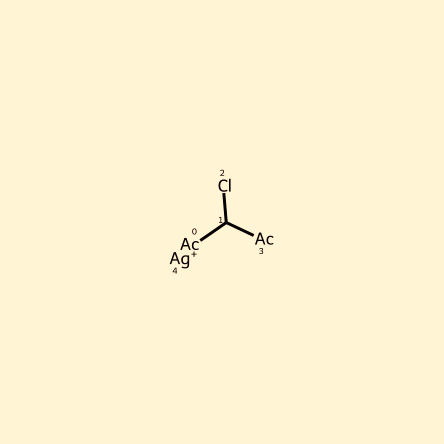 CC(=O)C(Cl)C(C)=O.[Ag+]